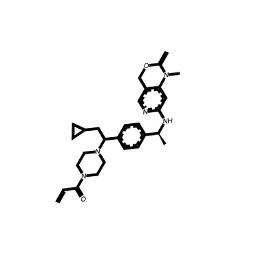 C=CC(=O)N1CCN(C(CC2CC2)c2ccc([C@H](C)Nc3cc4c(cn3)COC(=C)N4C)cc2)CC1